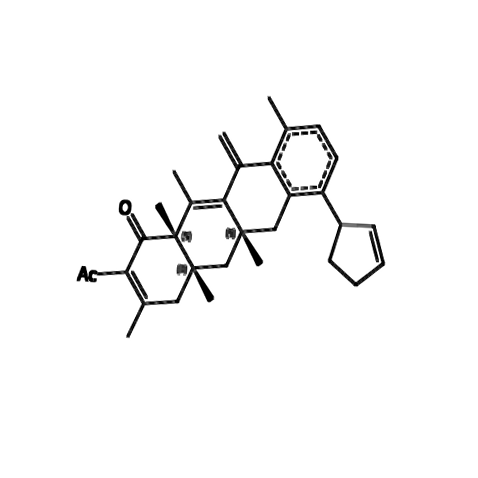 C=C1C2=C(C)[C@@]3(C)C(=O)C(C(C)=O)=C(C)C[C@@]3(C)C[C@@]2(C)Cc2c(C3C=CCC3)ccc(C)c21